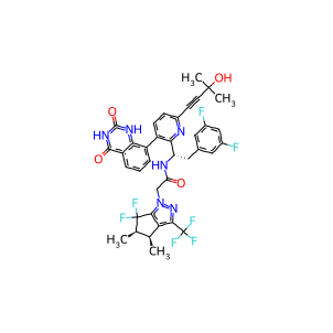 C[C@@H]1c2c(C(F)(F)F)nn(CC(=O)N[C@@H](Cc3cc(F)cc(F)c3)c3nc(C#CC(C)(C)O)ccc3-c3cccc4c(=O)[nH]c(=O)[nH]c34)c2C(F)(F)[C@@H]1C